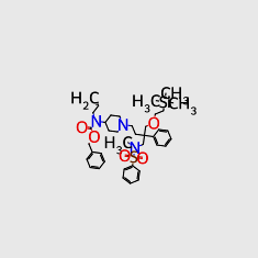 C=CCN(C(=O)OCc1ccccc1)C1CCN(CCC(COCC[Si](C)(C)C)(CN(C)S(=O)(=O)c2ccccc2)c2ccccc2)CC1